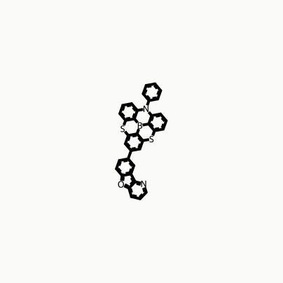 c1ccc(N2c3cccc4c3B3c5c(cc(-c6ccc7oc8cccnc8c7c6)cc5Sc5cccc2c53)S4)cc1